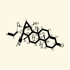 C=CC[C@]1(C#N)[C@H]2C[C@H]2[C@H]2[C@@H]3CCC4=CC(=O)CC[C@]4(C)[C@H]3CC[C@@]21C